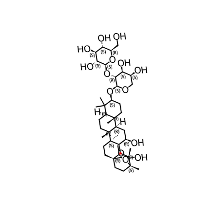 CC1(C)[C@@H](O[C@@H]2OC[C@H](O)[C@H](O)[C@H]2O[C@@H]2O[C@H](CO)[C@@H](O)[C@H](O)[C@H]2O)CC[C@]2(C)[C@H]3C[C@@H](O)C4=C5[C@]6(CC[C@](C)(OC6=O)[C@@]5(C)O)CC[C@@]4(C)[C@]3(C)CC[C@@H]12